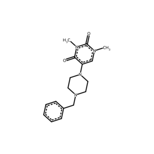 Cn1cc(N2CCN(Cc3ccccc3)CC2)c(=O)n(C)c1=O